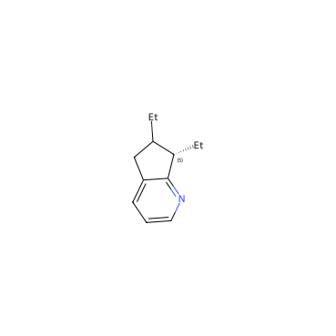 CCC1Cc2cccnc2[C@H]1CC